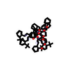 CC(C)(C)c1ccccc1/C=C/c1ccc(/C=C/c2ccccc2)c(C23CC4CC(C2)CC(c2cc(/C=C/c5ccccc5C(C)(C)C)ccc2/C=C/c2ccccc2)(C4)C3(c2cc(/C=C/c3ccccc3C(C)(C)C)ccc2/C=C/c2ccccc2)c2cc(/C=C/c3ccccc3C(C)(C)C)ccc2/C=C/c2ccccc2)c1